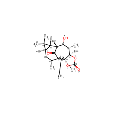 CC1=C[C@]23C(=O)[C@@H]([C@H](O)[C@H](C)[C@H]4OC(=O)O[C@]42[C@H]1C)[C@@H]1[C@@H](C[C@H]3C)C1(C)C